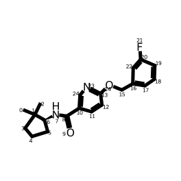 CC1(C)CCC[C@@H]1NC(=O)c1ccc(OCc2cccc(F)c2)nc1